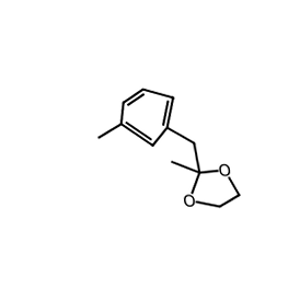 Cc1cccc(CC2(C)OCCO2)c1